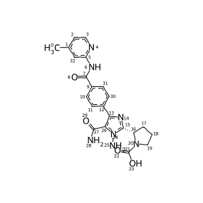 Cc1ccnc(NC(=O)c2ccc(-c3nc([C@@H]4CCCN4C(=O)O)n(N)c3C(N)=O)cc2)c1